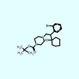 CC(C)(C)OC(=O)N1CCN(CC(c2ccccc2Br)C2(O)CCCCC2)CC1